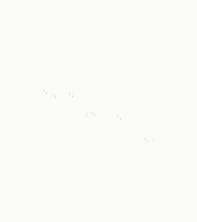 O=C(Nc1ccc(C2CCNCC2)nc1)C1CN(c2cccnn2)C1